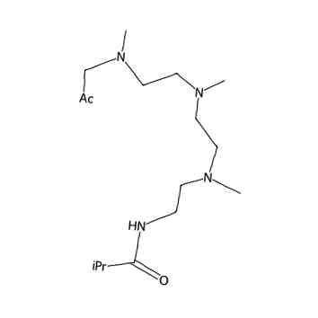 CC(=O)CN(C)CCN(C)CCN(C)CCNC(=O)C(C)C